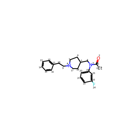 CCC(=O)N(CC1CCN(CCc2ccccc2)CC1)c1cccc(F)c1